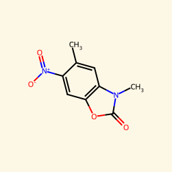 Cc1cc2c(cc1[N+](=O)[O-])oc(=O)n2C